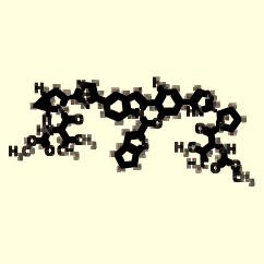 COC(=O)NC(C(=O)N1[C@@H]2C[C@@H]2C[C@H]1c1ncc(-c2ccc3c(c2)cc2n3C(c3cc4c(s3)CCC4)Oc3cc(-c4cnc([C@@H]5CCCN5C(=O)[C@@H](NC(=O)OC)C(C)C)[nH]4)cc(F)c3-2)[nH]1)C(C)C